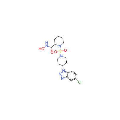 O=C(NO)C1CCCCN1S(=O)(=O)N1CCC(n2nnc3cc(Cl)ccc32)CC1